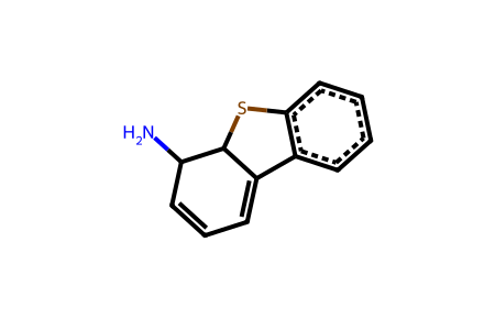 NC1C=CC=C2c3ccccc3SC21